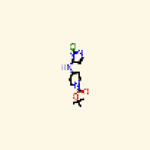 CC(C)(C)OC(=O)N1CCC(Nc2ccnc(Cl)n2)CC1